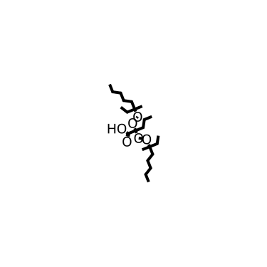 CCCCCC(C)(CC)OOC(CCC)(OOC(C)(CC)CCCCC)C(=O)O